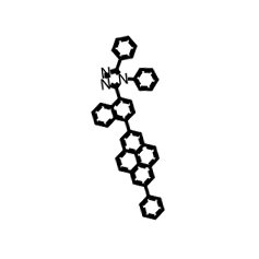 c1ccc(-c2cc3ccc4cc(-c5ccc(-c6nnc(-c7ccccc7)n6-c6ccccc6)c6ccccc56)cc5ccc(c2)c3c45)cc1